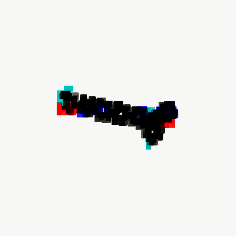 OC(CC(F)(F)F)c1ccc(N2CCN(c3ccc(-c4ccc(C(F)(F)C(O)(Cn5cnnn5)c5ccc(F)cc5)nc4)cc3)CC2)cn1